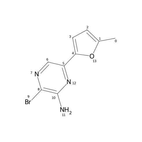 Cc1ccc(-c2cnc(Br)c(N)n2)o1